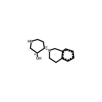 O[C@H]1CNCC[C@@H]1N1CCc2ccccc2C1